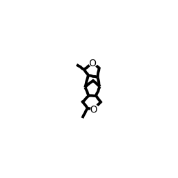 CC1CC2C(CO1)C1CC2C2C(C)OCC12